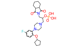 O=C1C2CCCCC2C(=O)N1CC(CN1CCN(c2cc(F)ccc2OC2CCCC2)CC1)OP(=O)(O)O